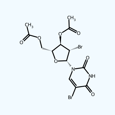 CC(=O)OC[C@H]1O[C@@H](n2cc(Br)c(=O)[nH]c2=O)[C@@H](Br)[C@@H]1OC(C)=O